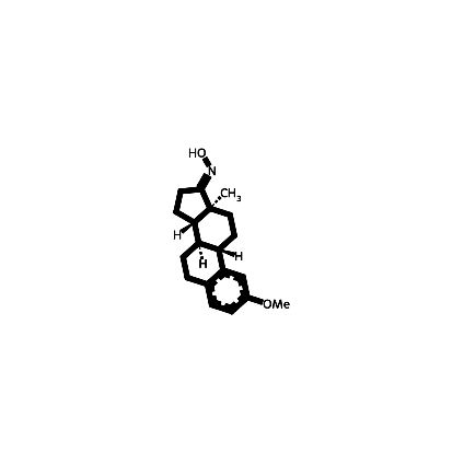 COc1[c]cc2c(c1)[C@H]1CC[C@]3(C)/C(=N/O)CC[C@H]3[C@@H]1CC2